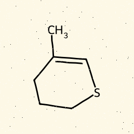 CC1=CSCCC1